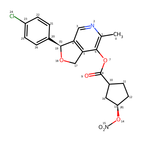 Cc1ncc2c(c1OC(=O)C1CC[C@@H](O[N+](=O)[O-])C1)CO[C@H]2c1ccc(Cl)cc1